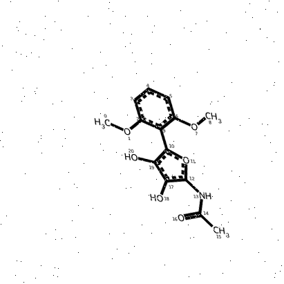 COc1cccc(OC)c1-c1oc(NC(C)=O)c(O)c1O